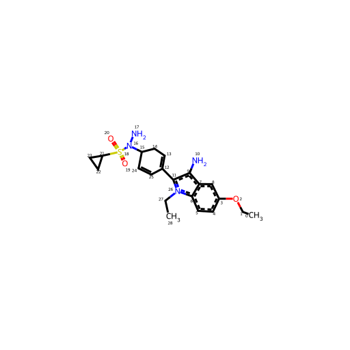 CCOc1ccc2c(c1)c(N)c(C1=CCC(N(N)S(=O)(=O)C3CC3)C=C1)n2CC